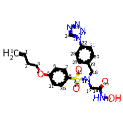 C=CCCOc1ccc(S(=O)(=O)N(CC(=O)NO)Cc2ccc(-n3cnnn3)cc2)cc1